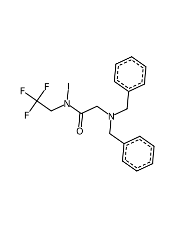 O=C(CN(Cc1ccccc1)Cc1ccccc1)N(I)CC(F)(F)F